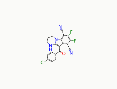 N#Cc1c(F)c(F)c(C#N)c2c1c(C(=O)c1ccc(Cl)cc1)c1n2CCCN1